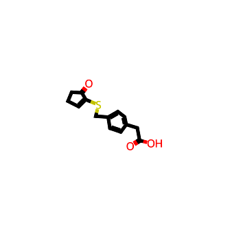 O=C(O)Cc1ccc(CSC2=CCCC2=O)cc1